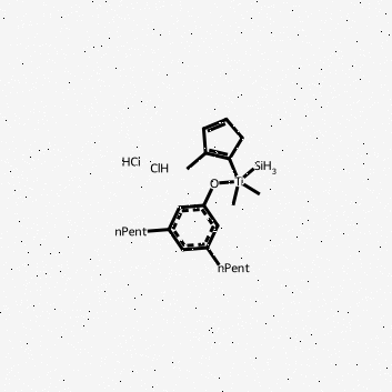 CCCCCc1cc(CCCCC)cc([O][Ti]([CH3])([CH3])([SiH3])[C]2=C(C)C=CC2)c1.Cl.Cl